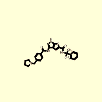 CC(C)(NC(=O)c1cc2c(NC(=O)c3ccc(CN4CCCC4)cc3)n[nH]c2s1)c1ccccc1